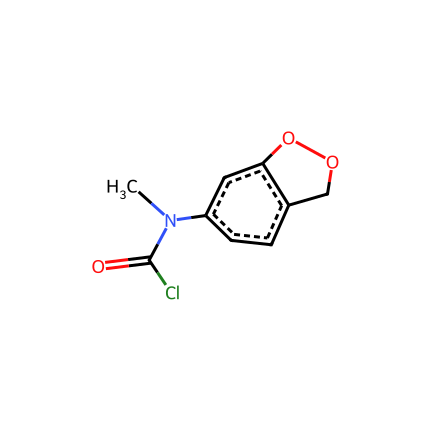 CN(C(=O)Cl)c1ccc2c(c1)OOC2